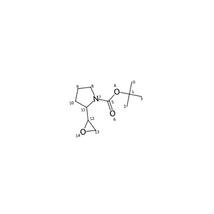 CC(C)(C)OC(=O)N1CCCC1C1CO1